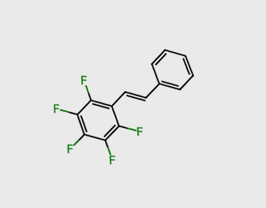 Fc1c(F)c(F)c(/C=C/c2ccccc2)c(F)c1F